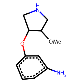 COC1CNCC1Oc1cccc(N)c1